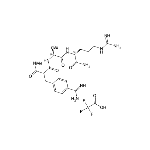 CCCC[C@H](NC(=O)C(Cc1ccc(C(=N)N)cc1)C(=O)NC)C(=O)N[C@@H](CCCNC(=N)N)C(N)=O.O=C(O)C(F)(F)F